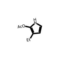 CCc1cc[nH]c1OC(C)=O